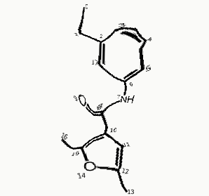 CCc1cccc(NC(=O)c2cc(C)oc2C)c1